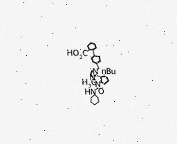 CCCCc1cccc(N(C)C(=O)NC2CCCCC2)c1-c1nccn1Cc1ccc(-c2ccccc2C(=O)O)cc1